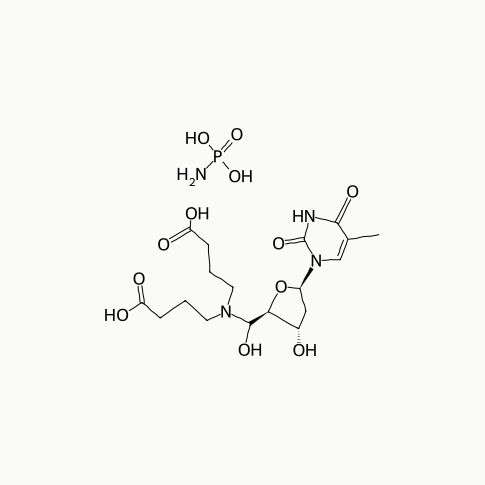 Cc1cn([C@H]2C[C@H](O)[C@@H](C(O)N(CCCC(=O)O)CCCC(=O)O)O2)c(=O)[nH]c1=O.NP(=O)(O)O